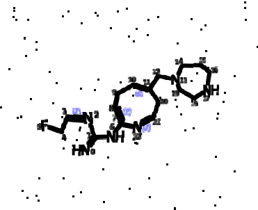 N=C(/N=C\CF)NC1=C/C/C=C(/CN2CCCNCC2)C/C=N\1